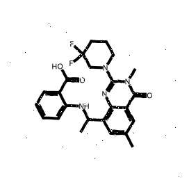 Cc1cc(C(C)Nc2ccccc2C(=O)O)c2nc(N3CCCC(F)(F)C3)n(C)c(=O)c2c1